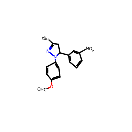 CC(C)(C)C1=NN(c2ccc(OC=O)cc2)C(c2cccc([N+](=O)[O-])c2)C1